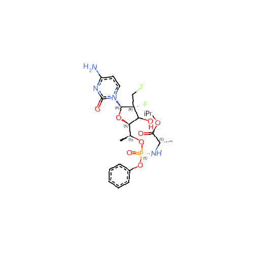 CC(C)OC(=O)[C@H](C)N[P@@](=O)(Oc1ccccc1)O[C@@H](C)[C@H]1O[C@@H](n2ccc(N)nc2=O)[C@@](F)(CF)C1O